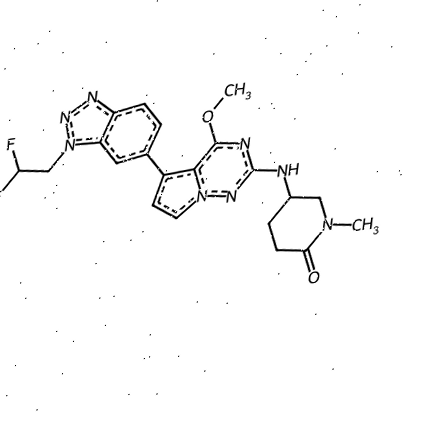 COc1nc(NC2CCC(=O)N(C)C2)nn2ccc(-c3ccc4nnn(CC(F)F)c4c3)c12